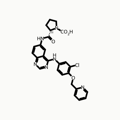 O=C(Nc1ccc2ncnc(Nc3ccc(OCc4ccccn4)c(Cl)c3)c2c1)[C@@H]1CCCN1C(=O)O